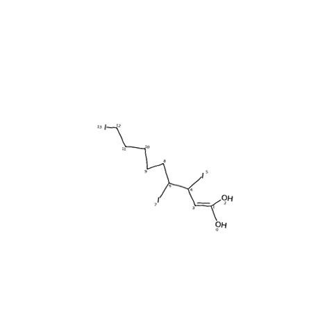 OC(O)=CC(I)C(I)CCCCCI